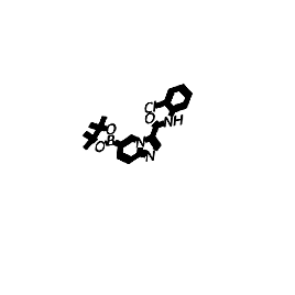 CC1(C)OB(c2ccc3ncc(C(=O)Nc4ccccc4Cl)n3c2)OC1(C)C